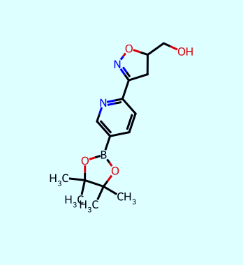 CC1(C)OB(c2ccc(C3=NOC(CO)C3)nc2)OC1(C)C